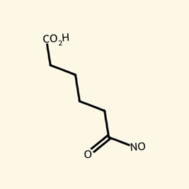 O=NC(=O)CCCCC(=O)O